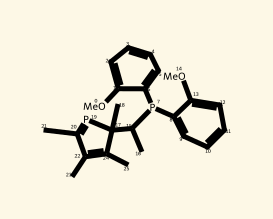 COc1ccccc1P(c1ccccc1OC)C(C)C1(C)P=C(C)C(C)=C1C